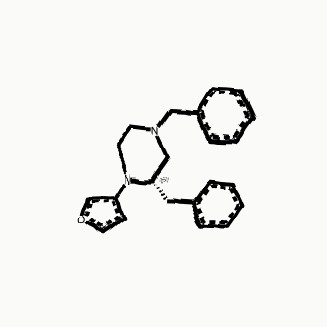 c1ccc(C[C@H]2CN(Cc3ccccc3)CCN2c2ccoc2)cc1